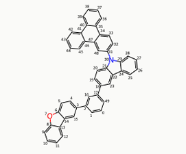 c1cc(-c2ccc3oc4ccccc4c3c2)cc(-c2ccc3c(c2)c2ccccc2n3-c2ccc3c4ccccc4c4ccccc4c3c2)c1